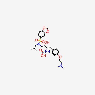 CC(C)CN(C[C@H](O)[C@H](Cc1ccc(OCCN(C)C)cc1)NC(=O)O)S(=O)(=O)c1ccc2c(c1)OCO2